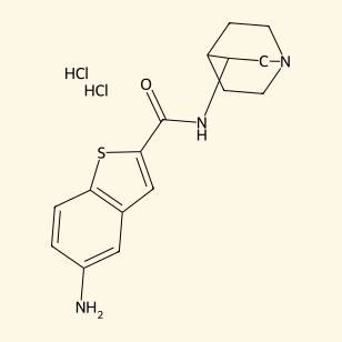 Cl.Cl.Nc1ccc2sc(C(=O)NC3CN4CCC3CC4)cc2c1